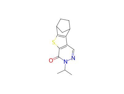 CC(C)n1ncc2c3c(sc2c1=O)C1CCC3C1